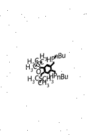 CCCCPCc1cc2c(cc1CPCCCC)C(S(C)(C)C)OC2S(C)(C)C